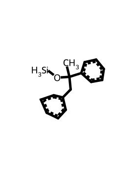 CC(Cc1ccccc1)(O[SiH3])c1ccccc1